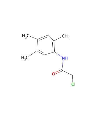 Cc1cc(C)c(NC(=O)CCl)cc1C